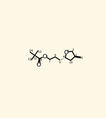 C=C1CO[C@@H](CCCOC(=O)C(C)(C)C)C1